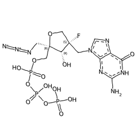 [N-]=[N+]=NC[C@]1(COP(=O)(O)OP(=O)(O)OP(=O)(O)O)OC[C@@](F)(Cn2cnc3c(=O)[nH]c(N)nc32)[C@@H]1O